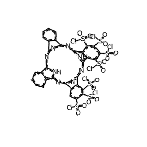 O=S(=O)(Cl)c1cc2c(c(S(=O)(=O)Cl)c1S(=O)(=O)Cl)-c1nc-2nc2[nH]c(nc3nc(nc4[nH]c(n1)c1c(S(=O)(=O)Cl)c(S(=O)(=O)Cl)c(S(=O)(=O)Cl)c(S(=O)(=O)Cl)c41)-c1ccccc1-3)c1ccccc21